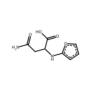 NC(=O)CC(Nc1ccco1)C(=O)O